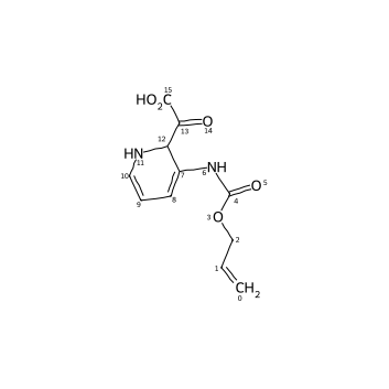 C=CCOC(=O)NC1=CC=CNC1C(=O)C(=O)O